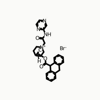 O=C(C[N+]12CCC(CC1)[C@@H](OC(=O)C1c3ccccc3Cc3ccccc31)C2)Nc1cnccn1.[Br-]